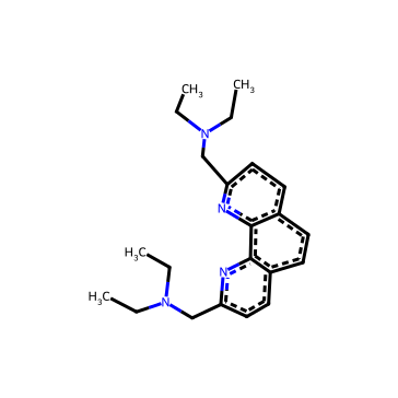 CCN(CC)Cc1ccc2ccc3ccc(CN(CC)CC)nc3c2n1